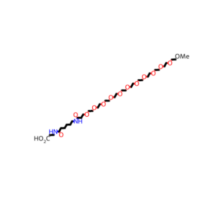 COCCOCCOCCOCCOCCOCCOCCOCCOCCOCCOCCOCCC(=O)NCCCCCC(=O)NCCC(=O)O